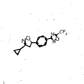 FC(F)(F)c1nc(-c2ccc(C3CC(C4CC4)=NO3)cc2)no1